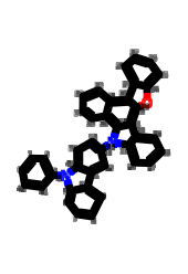 c1ccc(-n2c3ccccc3c3cc(-n4c5ccccc5c5c6oc7ccccc7c6c6ccccc6c54)ccc32)cc1